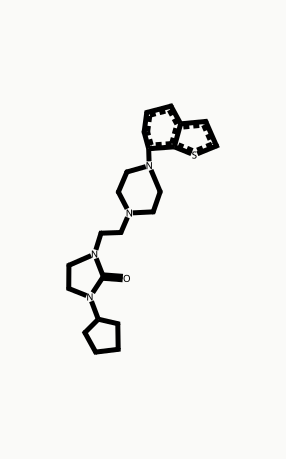 O=C1N(CCN2CCN(c3cccc4ccsc34)CC2)CCN1C1CCCC1